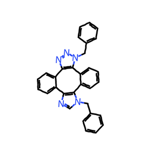 c1ccc(Cn2cnc3c2-c2ccccc2-c2c(nnn2Cc2ccccc2)-c2ccccc2-3)cc1